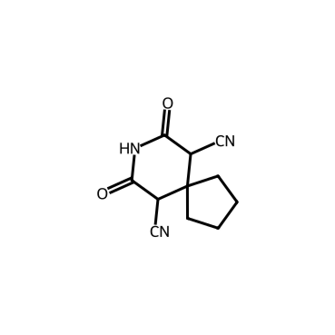 N#CC1C(=O)NC(=O)C(C#N)C12CCCC2